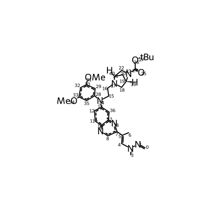 C=NN(C)/C=C(\C)c1cnc2ccc(N(CCN3C[C@@H]4C[C@H]3CN4C(=O)OC(C)(C)C)c3cc(OC)cc(OC)c3)cc2n1